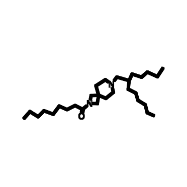 CCCCCCCCC(=O)N1CC2(CCN(CC(CCCCC)CCCCCC)CC2)C1